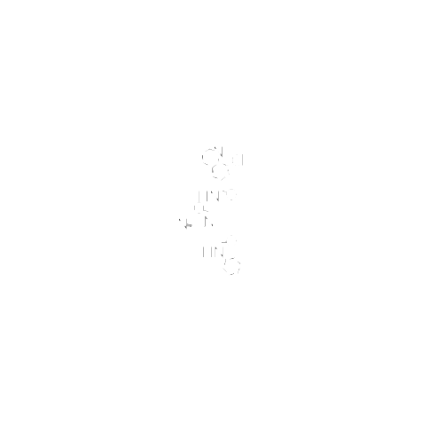 N#CC1CC(C(=O)Nc2ccccc2)CN1C(=O)CNC(=O)c1cc(Cl)c2ncccc2c1